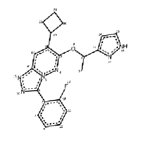 CC(Oc1nn2c(-c3ccccc3F)nnc2cc1C1CCC1)c1cc[nH]n1